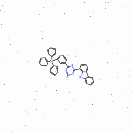 Clc1nc(-c2cccc([Si](c3ccccc3)(c3ccccc3)c3ccccc3)c2)nc(-c2cccc3c2[nH]c2ccccc23)n1